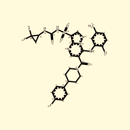 Cc1ccc(Cl)c(Nc2c(C(=O)N3CCC(c4ccc(F)cc4)CC3)cnc3c(S(=O)(=O)NC(=O)NC4CC4(F)F)cnn23)c1